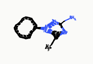 Cc1nc(N)nn1-c1ccccc1